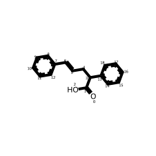 O=C(O)C(CC=Cc1ccccc1)c1ccccc1